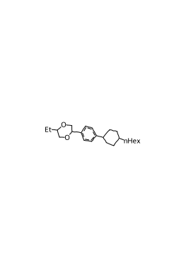 CCCCCCC1CCC(c2ccc(C3COC(CC)CO3)cc2)CC1